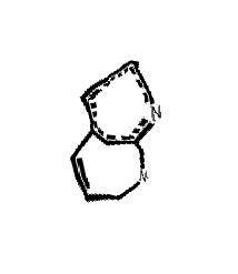 C1=Cc2cccnc2[N]C1